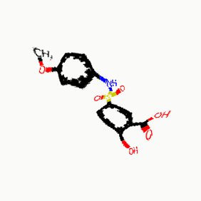 COc1ccc(NS(=O)(=O)c2ccc(O)c(C(=O)O)c2)cc1